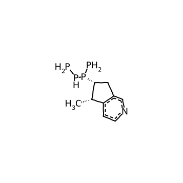 C[C@H]1c2ccncc2C[C@H]1P(P)PP